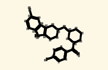 O=C(c1ccc(F)cc1)N1CCCC(CN2CCc3[nH]c4ccc(F)cc4c3C2)C1